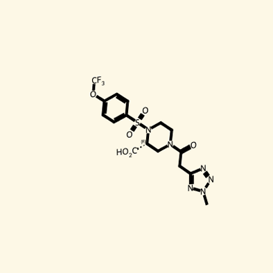 Cn1nnc(CC(=O)N2CCN(S(=O)(=O)c3ccc(OC(F)(F)F)cc3)[C@@H](C(=O)O)C2)n1